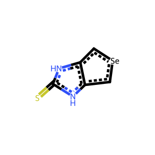 S=c1[nH]c2c[se]cc2[nH]1